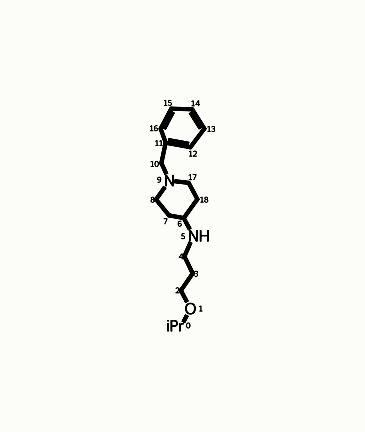 CC(C)OCCCNC1CCN(Cc2ccccc2)CC1